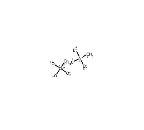 CC[N+](C)(C)CC.[O-][Cl+3]([O-])([O-])[O-]